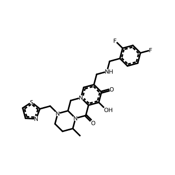 CC1CCN(Cc2nccs2)C2Cn3cc(CNCc4ccc(F)cc4F)c(=O)c(O)c3C(=O)N12